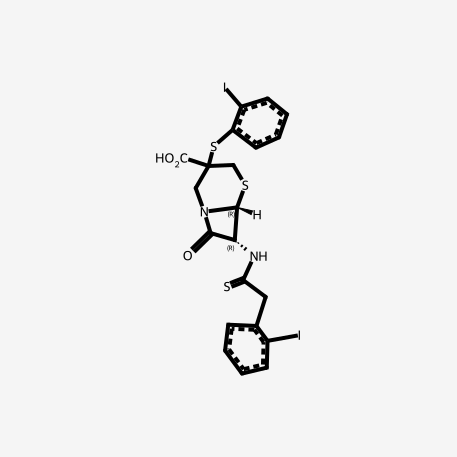 O=C1[C@@H](NC(=S)Cc2ccccc2I)[C@H]2SCC(Sc3ccccc3I)(C(=O)O)CN12